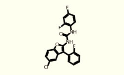 O=C(Nc1ccc(F)cc1F)Nc1oc2ccc(Cl)cc2c1-c1ccccc1F